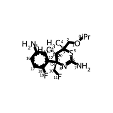 CC(C)OC[C@@]1(C)SC(N)=N[C@](CF)(c2cc(N)ccc2F)[C@@H]1C